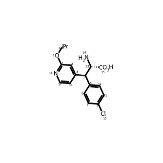 CC(C)Oc1cc([C@H](c2ccc(Cl)cc2)[C@H](N)C(=O)O)ccn1